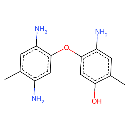 Cc1cc(N)c(Oc2cc(O)c(C)cc2N)cc1N